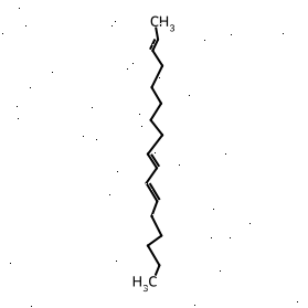 CC=CCCCCCC=CC=CCCCCC